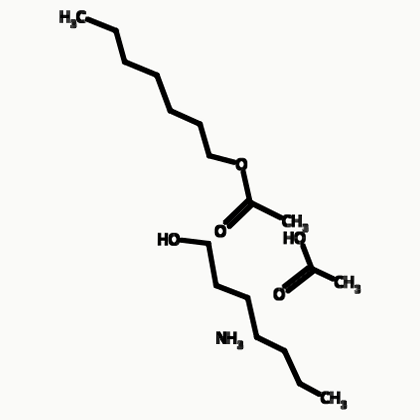 CC(=O)O.CCCCCCCO.CCCCCCCOC(C)=O.N